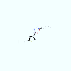 CNc1nnc(-c2csc(C)c2)o1